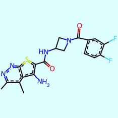 Cc1nnc2sc(C(=O)NC3CN(C(=O)c4ccc(F)c(F)c4)C3)c(N)c2c1C